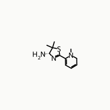 CN1CC=CC=C1C1=N[C@H](N)C(C)(C)S1